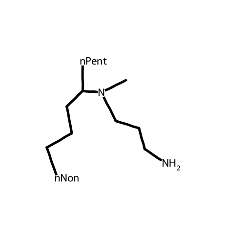 CCCCCCCCCCCCC(CCCCC)N(C)CCCN